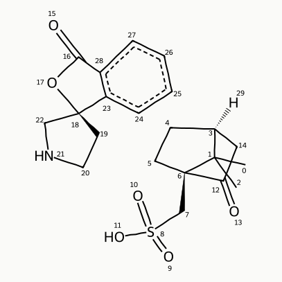 CC1(C)[C@H]2CC[C@@]1(CS(=O)(=O)O)C(=O)C2.O=C1O[C@]2(CCNC2)c2ccccc21